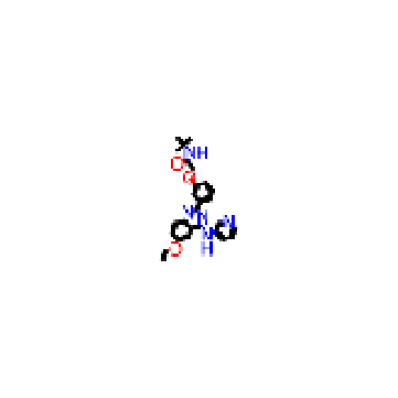 CCOc1ccc2nc(-c3cccc(OCC(=O)NC(C)(C)C)c3)nc(Nc3cccnc3)c2c1